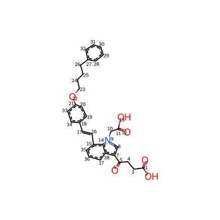 O=C(O)CCC(=O)c1cn(CC(=O)O)c2c(/C=C/c3ccc(OCCCCc4ccccc4)cc3)cccc12